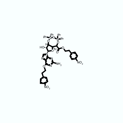 CC(C)[Si]1(C(C)C)OC(C(=O)OCCc2ccc([N+](=O)[O-])cc2)[C@H]2O[C@@H](n3cnc4c(OCCc5ccc([N+](=O)[O-])cc5)nc(N)nc43)[C@H](O)[C@@H]2O[Si](C(C)C)(C(C)C)O1